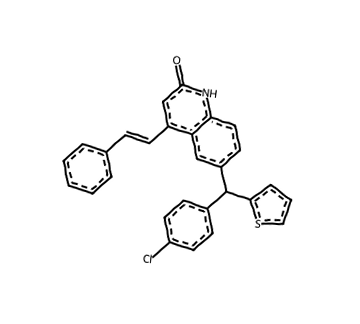 O=c1cc(C=Cc2ccccc2)c2cc(C(c3ccc(Cl)cc3)c3cccs3)ccc2[nH]1